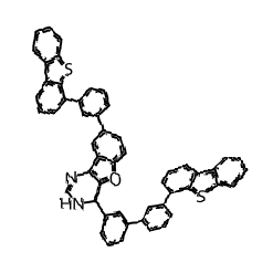 C1=Nc2c(oc3ccc(-c4cccc(-c5cccc6c5sc5ccccc56)c4)cc23)C(c2cccc(-c3cccc(-c4cccc5c4sc4ccccc45)c3)c2)N1